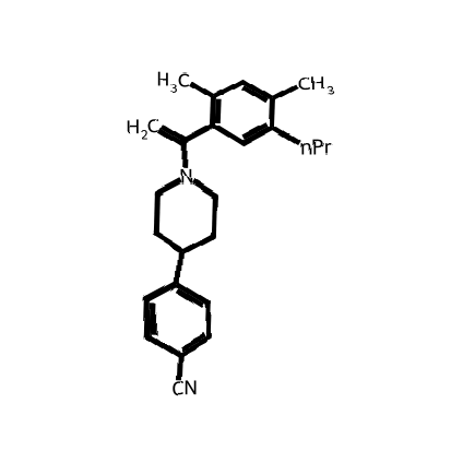 C=C(c1cc(CCC)c(C)cc1C)N1CCC(c2ccc(C#N)cc2)CC1